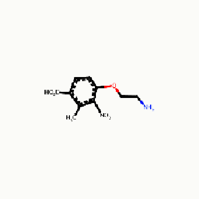 Cc1c(C(=O)O)ccc(OCCN)c1[N+](=O)[O-]